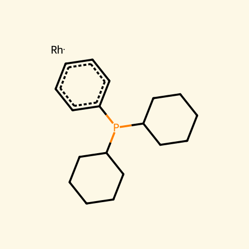 [Rh].c1ccc(P(C2CCCCC2)C2CCCCC2)cc1